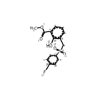 COC(=O)c1cccc(CS(=O)(=O)c2ccc(F)cc2)c1O